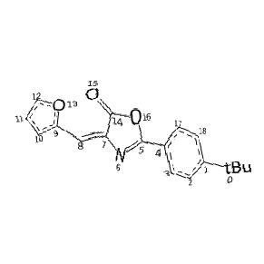 CC(C)(C)c1ccc(C2=NC(=Cc3ccco3)C(=O)O2)cc1